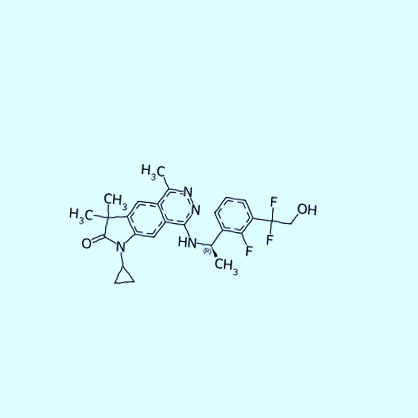 Cc1nnc(N[C@H](C)c2cccc(C(F)(F)CO)c2F)c2cc3c(cc12)C(C)(C)C(=O)N3C1CC1